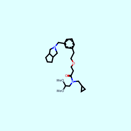 COC(CN(CC1CC1)C(=O)CCOCCc1cccc(CN2CC3CCCC3C2)c1)OC